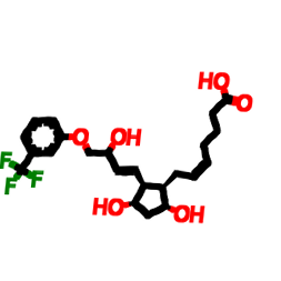 O=C(O)CCC/C=C\C[C@@H]1[C@H](/C=C/C(O)COc2cccc(C(F)(F)F)c2)[C@H](O)C[C@@H]1O